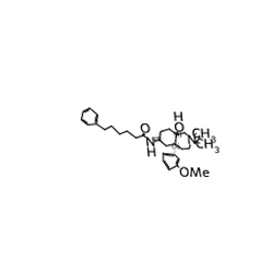 COc1cccc([C@@]23CC[N+](C)(C)C[C@@]2(O)CC[C@H](NC(=O)CCCCCc2ccccc2)C3)c1